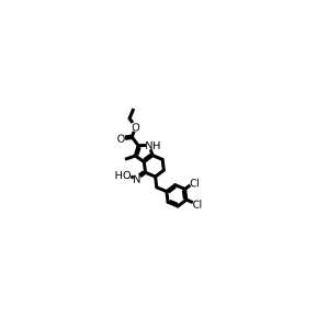 CCOC(=O)c1[nH]c2c(c1C)/C(=N\O)C(Cc1ccc(Cl)c(Cl)c1)CC2